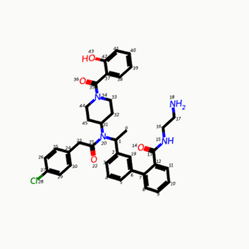 CC(c1cccc(-c2ccccc2C(=O)NCCN)c1)N(C(=O)Cc1ccc(Cl)cc1)C1CCN(C(=O)c2ccccc2O)CC1